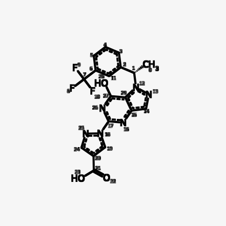 C[C@@H](c1cccc(C(F)(F)F)c1)n1ncc2nc(-n3cc(C(=O)O)cn3)nc(O)c21